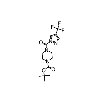 CC(C)(C)OC(=O)N1CCN(C(=O)n2cc(C(F)(F)F)cn2)CC1